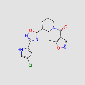 Cc1oncc1C(=O)N1CCCC(c2nc(-c3cc(Cl)c[nH]3)no2)C1